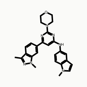 Cc1nn(C)c2cc(-c3cc(Nc4ccc5c(ccn5C)c4)nc(N4CCOCC4)n3)ccc12